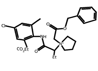 CCOC(=O)c1cc(Cl)cc(C)c1NC(=O)C(CC)[N+]1(CC(=O)OCc2ccccc2)CCCC1